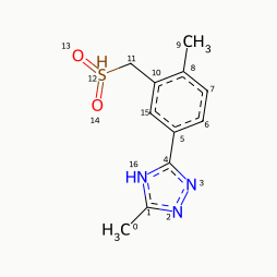 Cc1nnc(-c2ccc(C)c(C[SH](=O)=O)c2)[nH]1